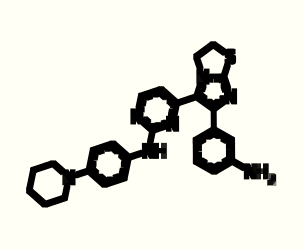 Nc1cccc(-c2nc3n(c2-c2ccnc(Nc4ccc(N5CCCCC5)cc4)n2)CCS3)c1